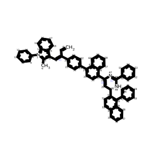 C=C/C(=C\c1c(C)n(-c2ccccc2)c2ccccc12)c1ccc(-c2ccc(C(=C/Cc3ccc4ccccc4c3-c3ccccc3)/N=C(\N)c3ccccc3)c3ccccc23)cc1